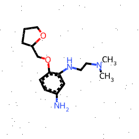 CN(C)CCNc1cc(N)ccc1OCC1CCCO1